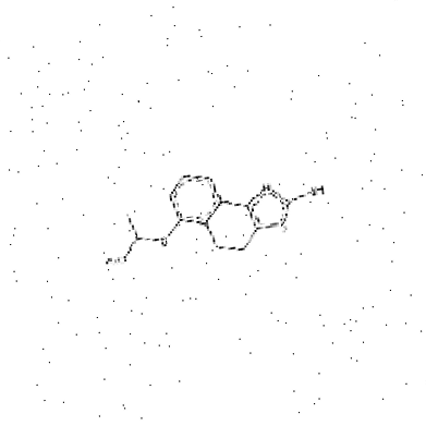 CC(=O)OC(C)Oc1cccc2c1CCc1sc(S)nc1-2